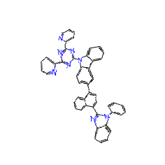 c1ccc(-n2c(-c3ccc(-c4ccc5c(c4)c4ccccc4n5-c4nc(-c5ccccn5)nc(-c5ccccn5)n4)c4ccccc34)nc3ccccc32)cc1